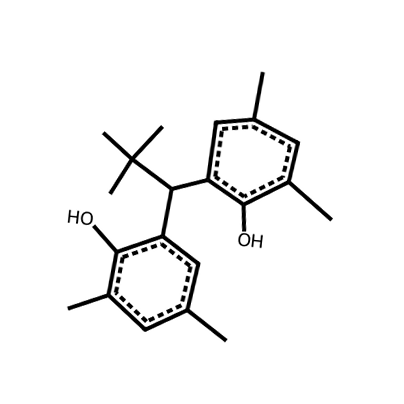 Cc1cc(C)c(O)c(C(c2cc(C)cc(C)c2O)C(C)(C)C)c1